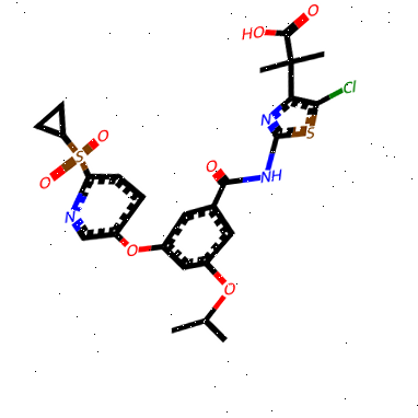 CC(C)Oc1cc(Oc2ccc(S(=O)(=O)C3CC3)nc2)cc(C(=O)Nc2nc(C(C)(C)C(=O)O)c(Cl)s2)c1